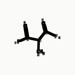 CC(C(=O)F)C(=O)F